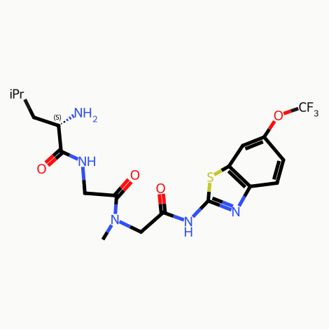 CC(C)C[C@H](N)C(=O)NCC(=O)N(C)CC(=O)Nc1nc2ccc(OC(F)(F)F)cc2s1